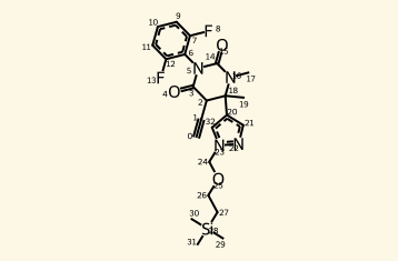 C#CC1C(=O)N(c2c(F)cccc2F)C(=O)N(C)C1(C)c1cnn(COCC[Si](C)(C)C)c1